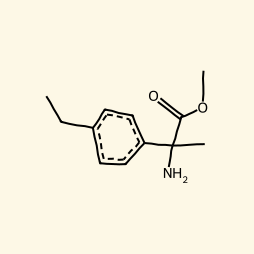 CCc1ccc(C(C)(N)C(=O)OC)cc1